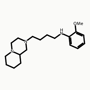 COc1ccccc1NCCCCN1CCN2CCCCC2C1